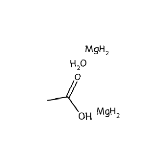 CC(=O)O.O.[MgH2].[MgH2]